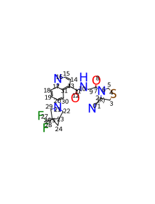 N#C[C@@H]1CSCN1C(=O)CNC(=O)c1ccnc2ccc(N3CC4CC4(C(F)F)C3)cc12